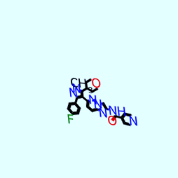 Cn1nc(-c2ccc(F)cc2)c(-c2ccc3nc(NC(=O)c4ccncc4)cn3n2)c1C1CCOCC1